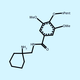 CCCCCOc1c(OC)cc(C(=O)NCC2(N)CCCCC2)cc1OC